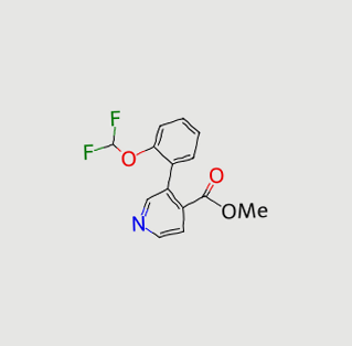 COC(=O)c1ccncc1-c1ccccc1OC(F)F